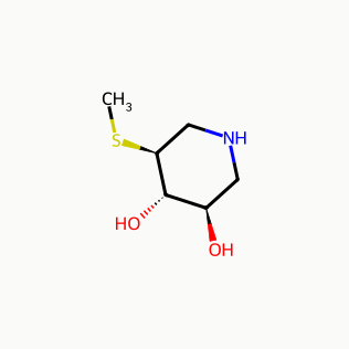 CS[C@H]1CNC[C@@H](O)[C@@H]1O